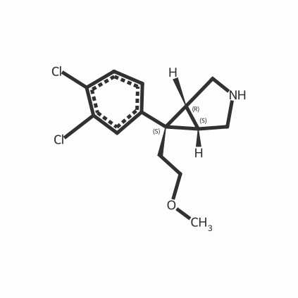 COCC[C@@]1(c2ccc(Cl)c(Cl)c2)[C@@H]2CNC[C@@H]21